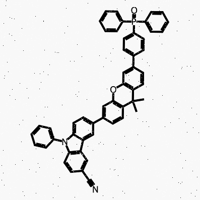 CC1(C)c2ccc(-c3ccc(P(=O)(c4ccccc4)c4ccccc4)cc3)cc2Oc2cc(-c3ccc4c(c3)c3cc(C#N)ccc3n4-c3ccccc3)ccc21